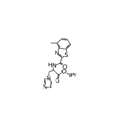 Cc1cccc2sc(C(=O)NC(Cn3ccnc3)C(=O)OC(C)C)nc12